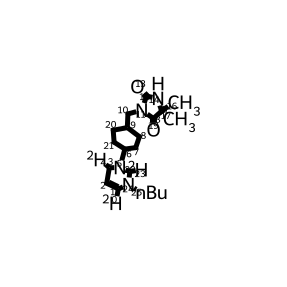 [2H]C1=CC([2H])N(C2CCC(CN3C(=O)NC(C)(C)C3=O)CC2)C([2H])N1CCCC